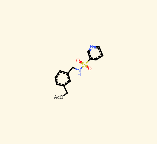 CC(=O)OCc1cccc(CNS(=O)(=O)c2cccnc2)c1